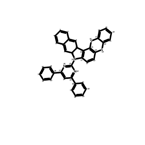 C1=c2ccccc2=CC2C1c1c(ccc3c1Sc1ccccc1S3)N2c1nc(-c2ccccc2)cc(-c2ccccc2)n1